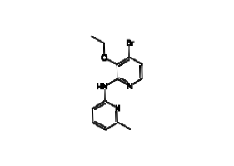 CCOc1c(Br)ccnc1Nc1cccc(C)n1